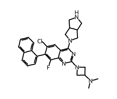 CN(C)C1CN(c2nc(N3CC4CNCC4C3)c3cc(Cl)c(-c4cccc5ccccc45)c(F)c3n2)C1